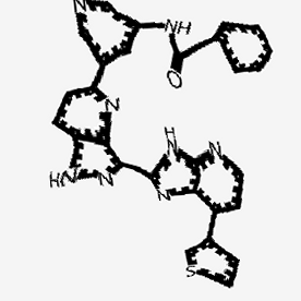 O=C(Nc1cncc(-c2ccc3[nH]nc(-c4nc5c(-c6ccsc6)ccnc5[nH]4)c3n2)c1)c1ccccc1